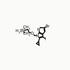 C[Si](C)(C)CCOCn1c(C2CC2)c(I)c2cc(Br)cnc21